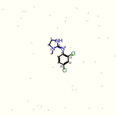 CN1CCNC1=Nc1ccc(Cl)cc1Cl